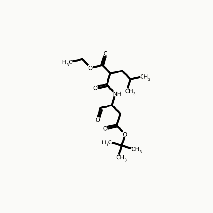 CCOC(=O)C(CC(C)C)C(=O)NC(C=O)CC(=O)OC(C)(C)C